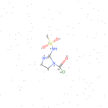 CS(=O)(=O)NC1=NCCN1C(=O)Cl